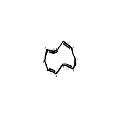 C1=C\C/C=C/C=C\C/C=C/1